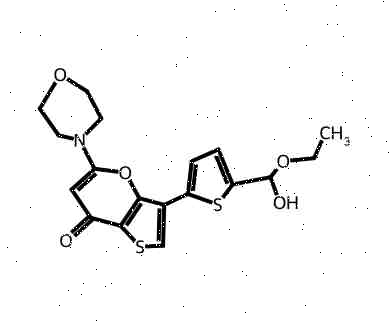 CCOC(O)c1ccc(-c2csc3c(=O)cc(N4CCOCC4)oc23)s1